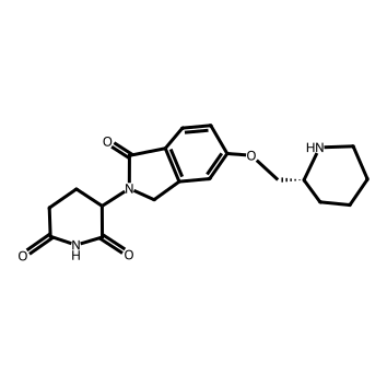 O=C1CCC(N2Cc3cc(OC[C@H]4CCCCN4)ccc3C2=O)C(=O)N1